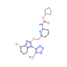 Cn1nnnc1-n1c(OCc2cccc(NC(=O)OC3CCCC3)n2)nc2c(Br)cccc21